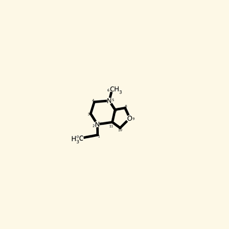 CCN1CCN(C)C2COCC21